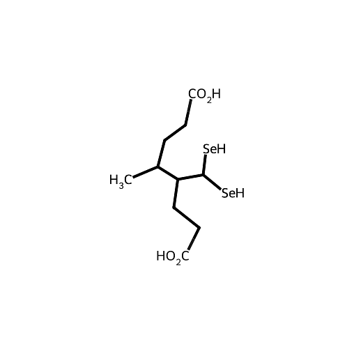 CC(CCC(=O)O)C(CCC(=O)O)C([SeH])[SeH]